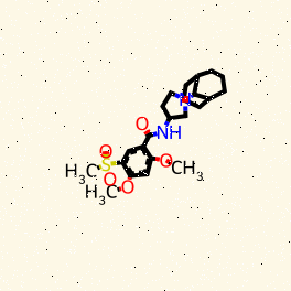 COc1cc(OC)c(S(C)(=O)=O)cc1C(=O)NC1CCN(C2C3CCCC2CCC3)C1